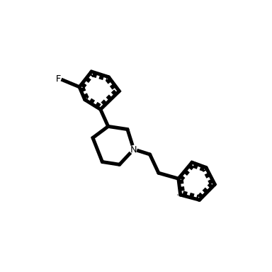 Fc1cccc(C2CCCN(CCc3[c]cccc3)C2)c1